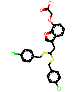 O=C(O)COc1cccc2c(CC(SCc3ccc(Cl)cc3)SCc3ccc(Cl)cc3)coc12